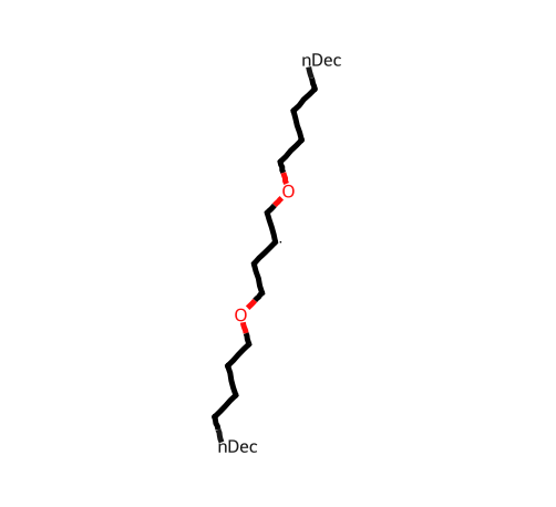 CCCCCCCCCCCCCCOC[CH]CCOCCCCCCCCCCCCCC